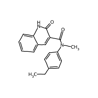 CCc1ccc(N(C)C(=O)c2cc3ccccc3[nH]c2=O)cc1